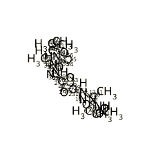 COC(=O)N[C@H](C(=O)N1C[C@@H](C)C[C@H]1c1ncc(-c2cc3c4c(c2)OCc2cc(-c5cnc([C@@H]6C[C@H](C)CN6C(=O)[C@H](NC(=O)C6C(C)(C)C6(C)C)c6ccccc6)[nH]5)cc(c2-4)OC3)[nH]1)C(C)C